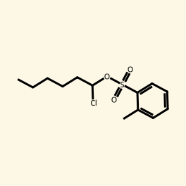 CCCCCC(Cl)OS(=O)(=O)c1ccccc1C